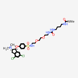 CNC(=O)NCCCCNC(=O)NCCOCCOCCNS(=O)(=O)c1ccc(O[C@H]2c3cc(Cl)cc(Cl)c3C[C@@H]2N(C)C)cc1